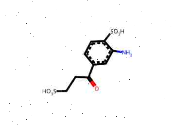 Nc1cc(C(=O)CCS(=O)(=O)O)[c]cc1S(=O)(=O)O